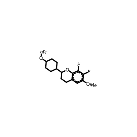 CCCOC1CCC(C2CCc3cc(OC)c(F)c(F)c3O2)CC1